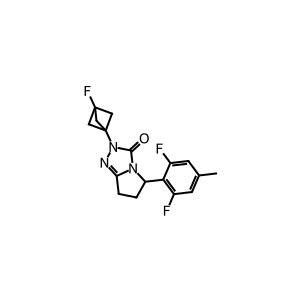 Cc1cc(F)c(C2CCc3nn(C45CC(F)(C4)C5)c(=O)n32)c(F)c1